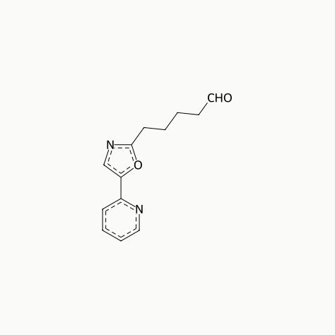 O=CCCCCc1ncc(-c2ccccn2)o1